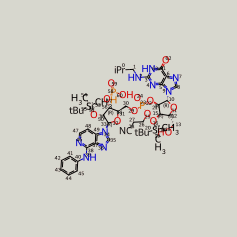 CC(C)CNc1nc2c(ncn2[C@@H]2O[C@H](CO)[C@@H](O[Si](C)(C)C(C)(C)C)[C@H]2OP(=O)(OCCC#N)OC[C@H]2O[C@@H](n3cnc4c(Nc5ccccc5)nccc43)[C@H](O[Si](C)(C)C(C)(C)C)[C@@H]2O[PH](=O)O)c(=O)[nH]1